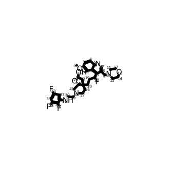 COc1ccc2ncc(CN3CCOCC3)c(C(F)CCC3(CC(=O)O)CCN(CCNc4cc(F)cc(F)c4F)CC3)c2c1